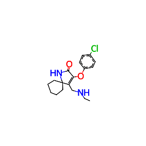 CCNCC1=C(Oc2ccc(Cl)cc2)C(=O)NC12CCCCC2